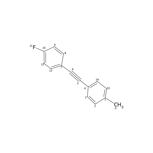 Cc1ccc(C#Cc2ccc(F)cc2)cc1